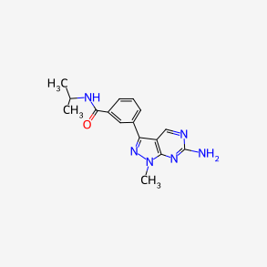 CC(C)NC(=O)c1cccc(-c2nn(C)c3nc(N)ncc23)c1